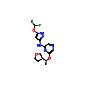 C[C@H](Oc1cncc(Nc2cc(OC(F)F)[nH]n2)n1)[C@H]1CCOC1